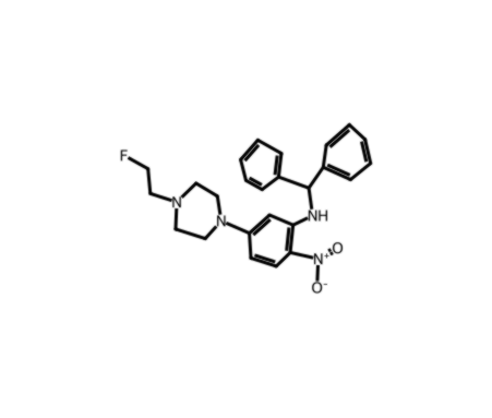 O=[N+]([O-])c1ccc(N2CCN(CCF)CC2)cc1NC(c1ccccc1)c1ccccc1